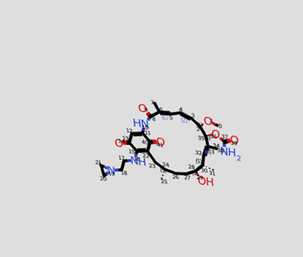 CO[C@H]1/C=C\C=C(/C)C(=O)NC2=CC(=O)C(NCCN3CC3)=C(C[C@@H](C)CC[C@H](O)[C@@H](C)/C=C(\C)[C@@H]1OC(N)=O)C2=O